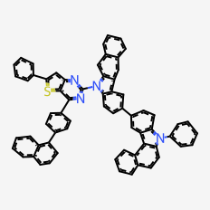 c1ccc(-c2cc3nc(-n4c5ccc(-c6ccc7c(c6)c6c8ccccc8ccc6n7-c6ccccc6)cc5c5cc6ccccc6cc54)nc(-c4ccc(-c5cccc6ccccc56)cc4)c3s2)cc1